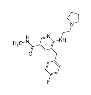 CNC(=O)c1cnc(NCCN2CCCC2)c(Cc2ccc(F)cc2)c1